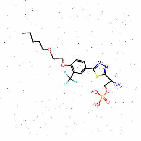 CCCCCOCCOc1ccc(-c2nnc([C@@](C)(N)COP(=O)(O)O)s2)cc1C(F)(F)F